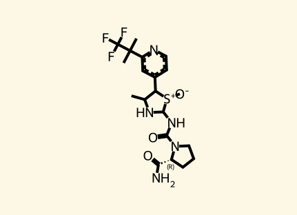 CC1NC(NC(=O)N2CCC[C@@H]2C(N)=O)[S+]([O-])C1c1ccnc(C(C)(C)C(F)(F)F)c1